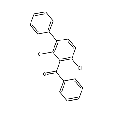 O=C(c1ccccc1)c1c(Cl)ccc(-c2ccccc2)c1Cl